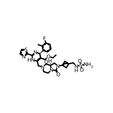 CCOC(=O)C1=C(CN2CCN3C(=O)N(C45CC(CNS(N)(=O)=O)(C4)C5)C[C@@H]3C2)NC(c2nccs2)=N[C@H]1c1cccc(F)c1C